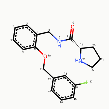 O=C(NCc1ccccc1OCc1cccc(F)c1)[C@@H]1CCCN1